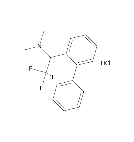 CN(C)C(c1ccccc1-c1ccccc1)C(F)(F)F.Cl